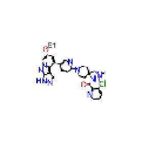 CCOc1cc(-c2ccc(N3CCC(CN(C)C)(NC(=O)c4ncccc4Cl)CC3)nc2)c2c3cn[nH]c3nn2c1